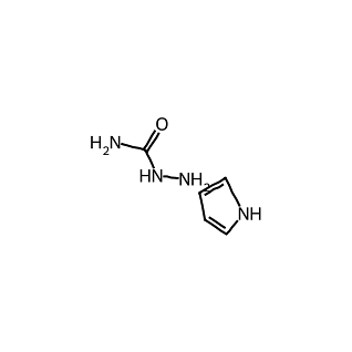 NNC(N)=O.c1cc[nH]c1